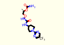 C[C@@H](CONC(=O)NC1CCN(c2ncc(C(F)(F)F)cn2)CC1)OC(N)=O